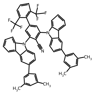 Cc1cc(C)cc(-c2ccc3c(c2)c2ccccc2n3-c2cc(-c3c(C(F)(F)F)cccc3C(F)(F)F)cc(-n3c4ccccc4c4cc(-c5cc(C)cc(C)c5)ccc43)c2C#N)c1